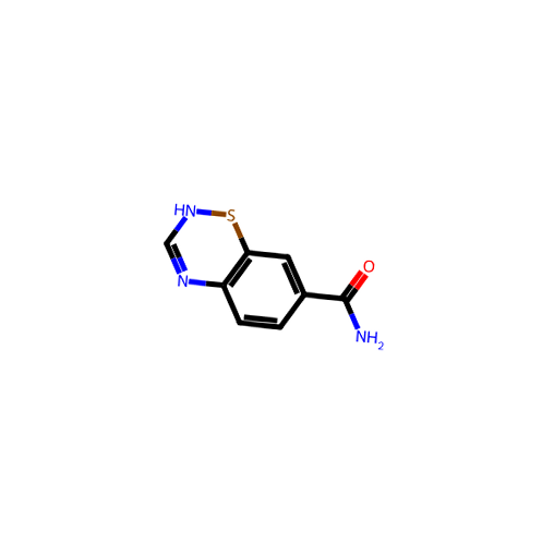 NC(=O)c1ccc2c(c1)SNC=N2